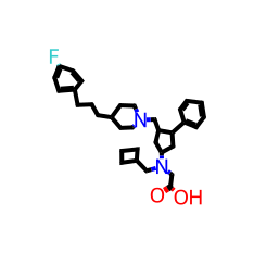 O=C(O)CN(CC1CCC1)C1CC(CN2CCC(CCCc3ccc(F)cc3)CC2)C(c2ccccc2)C1